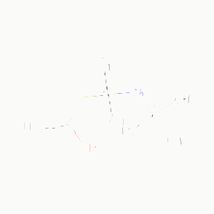 CC(O)SC(C)(C)NC(C)(C)C